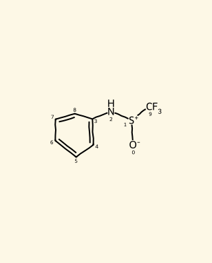 [O-][S+](Nc1ccccc1)C(F)(F)F